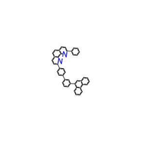 c1ccc(-c2ccc3ccc4ccc(-c5ccc(-c6cccc(-c7cc8ccccc8c8ccccc78)c6)cc5)nc4c3n2)cc1